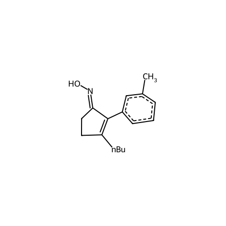 CCCCC1=C(c2cccc(C)c2)/C(=N/O)CC1